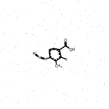 Cc1c(N=[N+]=[N-])ccc(C(=O)O)c1F